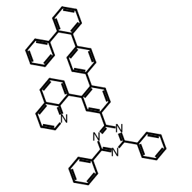 c1ccc(-c2nc(-c3ccccc3)nc(-c3ccc(-c4ccc(-c5ccccc5-c5ccccc5)cc4)c(-c4cccc5cccnc45)c3)n2)cc1